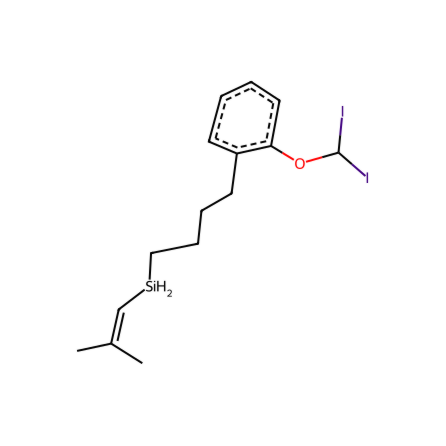 CC(C)=C[SiH2]CCCCc1ccccc1OC(I)I